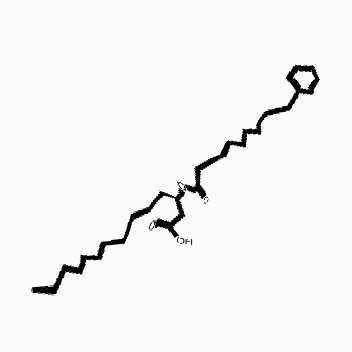 CCCCCCCCCCC[C@H](CC(=O)O)OC(=O)CCCCCCCCc1ccccc1